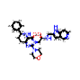 O=C(Cn1c(N2CCOCC2)nc2c(c1=O)NC(c1ccccc1)CC2)NCc1cc2cnccc2[nH]1